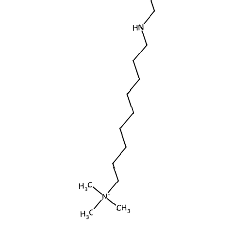 CCNCCCCCCCCC[N+](C)(C)C